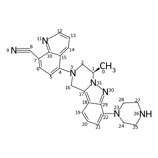 C[C@@H]1CN(c2ccc(C#N)c3ncccc23)Cc2c3cccc(N4CCNCC4)c3nn21